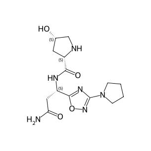 NC(=O)C[C@H](NC(=O)[C@@H]1C[C@H](O)CN1)c1nc(N2CCCC2)no1